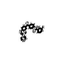 O=C(Nc1ccc(C(=O)c2ccc3ncc(N4CCOCC4)nc3c2)cc1)c1cccc(F)c1